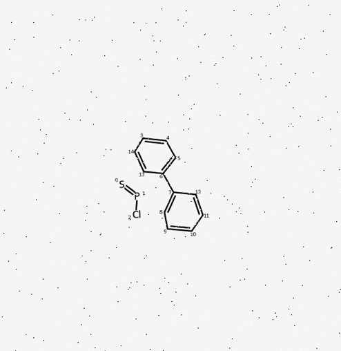 S=PCl.c1ccc(-c2ccccc2)cc1